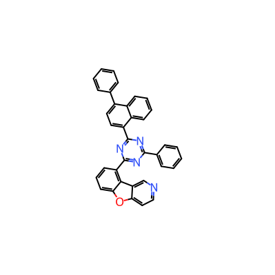 c1ccc(-c2nc(-c3ccc(-c4ccccc4)c4ccccc34)nc(-c3cccc4oc5ccncc5c34)n2)cc1